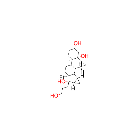 CC[C@]12CCC3C(C1[C@@H]1C[C@@H]1[C@@]2(O)CCCO)[C@H]1C[C@H]1[C@]1(O)C[C@@H](O)CC[C@]31C